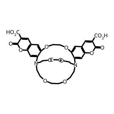 O=C(O)c1cc2cc3c(cc2oc1=O)N1CCOCCOCCN(CCOCCOCC1)c1cc2oc(=O)c(C(=O)O)cc2cc1OCCO3